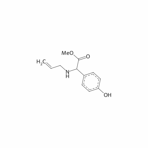 C=CCNC(C(=O)OC)c1ccc(O)cc1